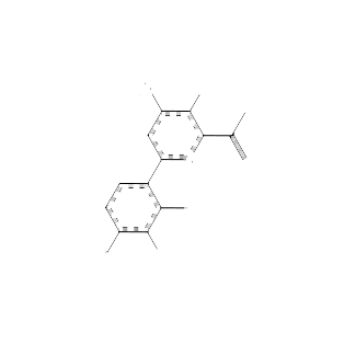 C=C(C)c1nc(-c2ccc(Cl)c(CC)c2F)cc(N)c1Cl